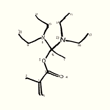 C=C(C)C(=O)OC(C)(N(CC)CC)N(CC)CC